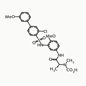 COc1cccc(-c2ccc(S(=O)(=O)Nc3cc(NC(=O)[C@H](C)N(C)C(=O)O)ccc3OC)c(Cl)c2)c1